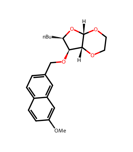 CCCC[C@H]1O[C@@H]2OCCO[C@@H]2[C@H]1OCc1ccc2ccc(OC)cc2c1